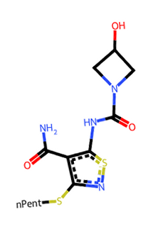 CCCCCSc1nsc(NC(=O)N2CC(O)C2)c1C(N)=O